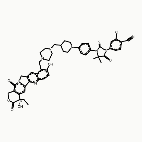 CC[C@@]1(O)C(=O)OCc2c1cc1n(c2=O)Cc2cc3c(CN4CCN(CC5CCN(c6ccc(N7C(=S)N(c8ccc(C#N)c(Cl)c8)C(=O)C7(C)C)cc6)CC5)CC4)c(O)ccc3nc2-1